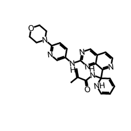 C=C(C)C(=O)NC1(c2nccc3cnc(Nc4ccc(N5CCOCC5)nc4)nc23)C=CC=CN1